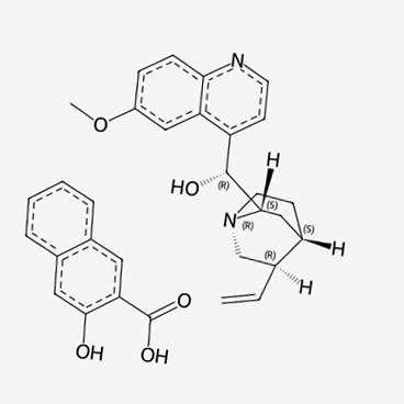 C=C[C@H]1C[N@]2CC[C@H]1C[C@H]2[C@H](O)c1ccnc2ccc(OC)cc12.O=C(O)c1cc2ccccc2cc1O